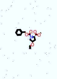 C=CO[C@@H]1C[C@@H](C(=O)OC)N(C(=O)OCc2ccccc2)C1